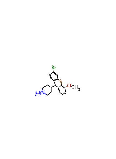 COc1cccc2c1Sc1cc(Br)ccc1C2C1CCNCC1